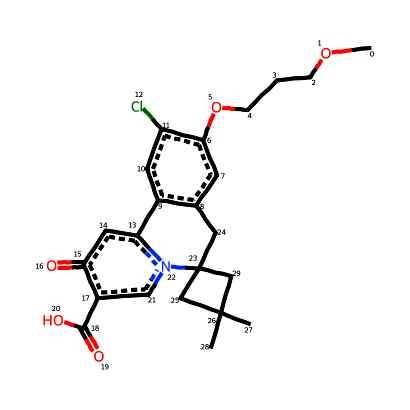 COCCCOc1cc2c(cc1Cl)-c1cc(=O)c(C(=O)O)cn1C1(C2)CC(C)(C)C1